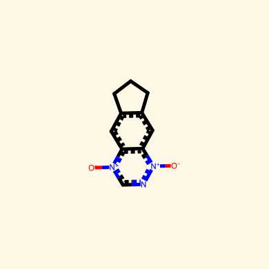 [O-][n+]1cn[n+]([O-])c2cc3c(cc21)CCC3